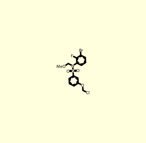 COCN(c1cccc(Br)c1F)S(=O)(=O)c1cccc(OCCl)c1